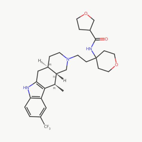 C[C@H]1c2c([nH]c3ccc(C(F)(F)F)cc23)C[C@H]2CCN(CCC3(NC(=O)C4CCOC4)CCOCC3)C[C@@H]21